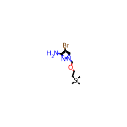 C[Si](C)(C)CCOCn1cc(Br)c(N)n1